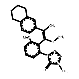 COc1cccc(-n2nnn(C)c2=O)c1/C(ON)=C(/C)c1ccc2c(c1)CCCC2